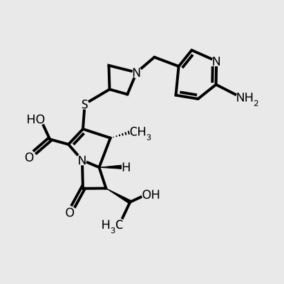 CC(O)[C@H]1C(=O)N2C(C(=O)O)=C(SC3CN(Cc4ccc(N)nc4)C3)[C@H](C)[C@H]12